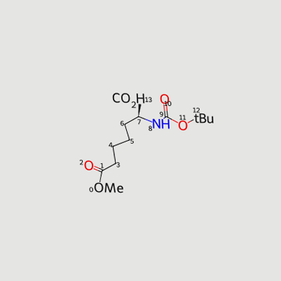 COC(=O)CCCC[C@H](NC(=O)OC(C)(C)C)C(=O)O